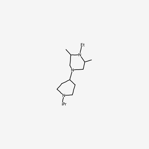 CCN1C(C)CN(C2CCN(C(C)C)CC2)CC1C